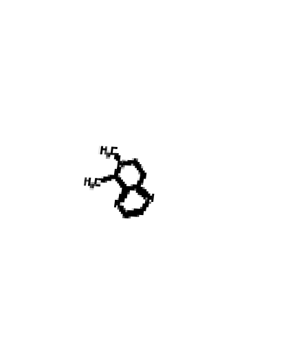 CC1c2nccnc2CCN1C